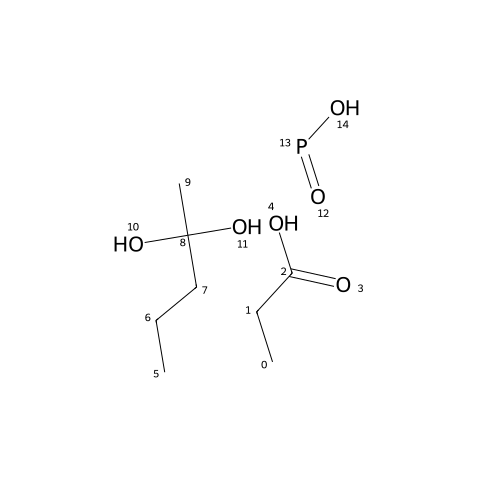 CCC(=O)O.CCCC(C)(O)O.O=PO